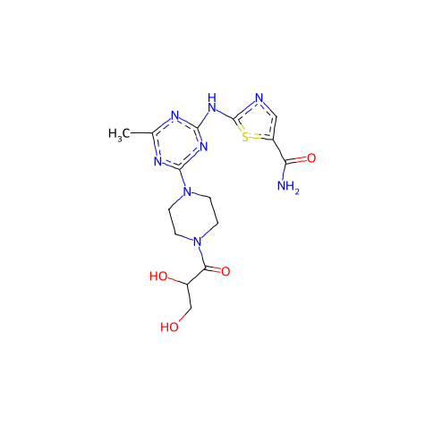 Cc1nc(Nc2ncc(C(N)=O)s2)nc(N2CCN(C(=O)C(O)CO)CC2)n1